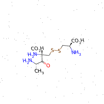 C[C@H](N)C(=O)[C@](N)(CSSC[C@H](N)C(=O)O)C(=O)O